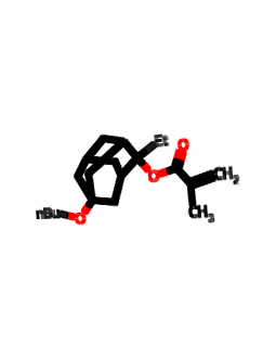 C=C(C)C(=O)OC1(CC)C2CC3CC1CC(OCCCC)(C3)C2